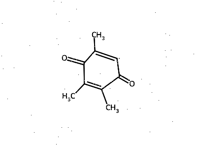 CC1=[C]C(=O)C(C)=C(C)C1=O